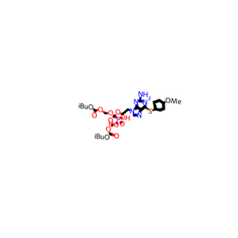 COc1ccc(Sc2nc(N)nc3c2ncn3CCOC(OCOC(=O)OCC(C)C)(OCOC(=O)OCC(C)C)P(=O)(O)O)cc1